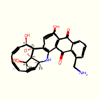 C[C@@H](O)[C@@]12O[C@]13c1cc(O)c4c(c1N[C@H]2C#C/C=C\C#C[C@H]3O)C(=O)c1c(CN)cccc1C4=O